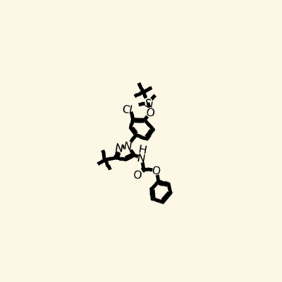 CC(C)(C)c1cc(NC(=O)Oc2ccccc2)n(-c2ccc(O[Si](C)(C)C(C)(C)C)c(Cl)c2)n1